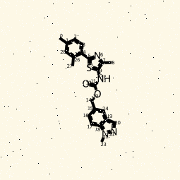 Cc1ccc(-c2nc(C)c(NC(=O)OCc3ccc4c(cnn4C)c3)s2)c(C)c1